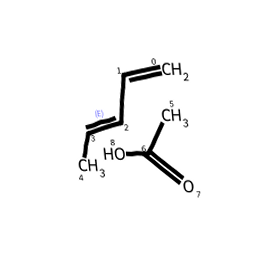 C=C/C=C/C.CC(=O)O